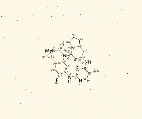 CNC(=O)Nc1cc(Nc2ncc(F)c(N[C@H]3CC4CCCN4C(C)(C)C3)n2)c(F)cc1C1CC1